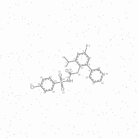 CC(C)c1cc(F)cc(-c2cccnc2)c1CC(=O)NS(=O)(=O)c1ccc(Cl)cc1